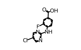 O=C(O)c1ccc(Nc2ncc(Cl)cn2)c(F)c1